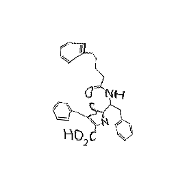 O=C(CCCc1ccccc1)NC(Cc1ccccc1)c1nc(C(=O)O)c(-c2ccccc2)s1